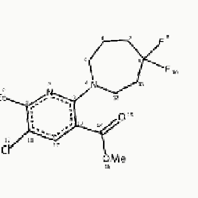 CCc1nc(N2CCCC(F)(F)CC2)c(C(=O)OC)cc1Cl